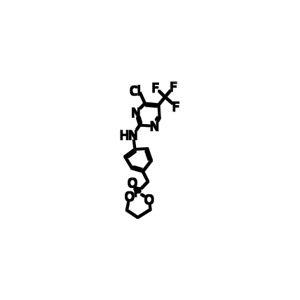 O=P1(Cc2ccc(Nc3ncc(C(F)(F)F)c(Cl)n3)cc2)OCCCO1